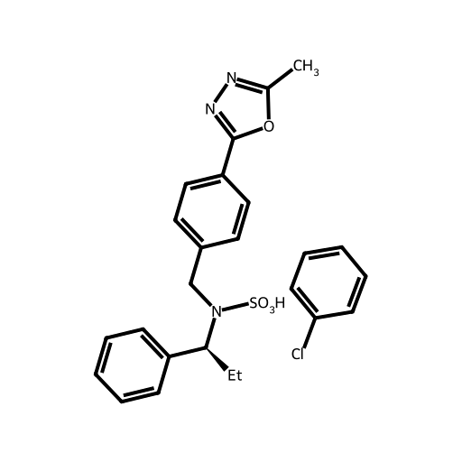 CC[C@@H](c1ccccc1)N(Cc1ccc(-c2nnc(C)o2)cc1)S(=O)(=O)O.Clc1ccccc1